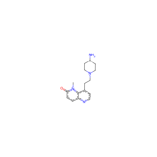 Cn1c(=O)ccc2nccc(CCN3CCC(N)CC3)c21